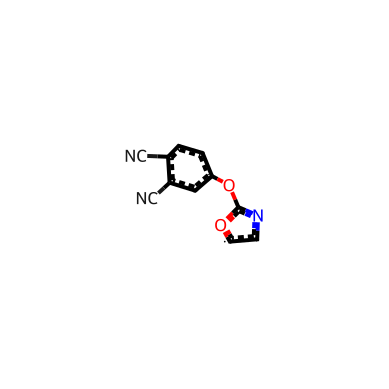 N#Cc1ccc(Oc2nc[c]o2)cc1C#N